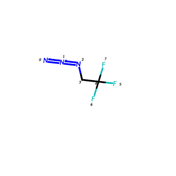 [N-]=[N+]=NCC(F)(F)F